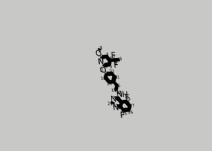 COc1cc(C(C)(F)F)cc(Oc2ccc(CCNc3ncnc4c(F)ccc(F)c34)cc2)n1